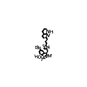 COc1ccc(C(C)(C)C)cc1C(CC(=O)O)Cc1csc(CCCc2ccc3c(n2)NCCC3)n1